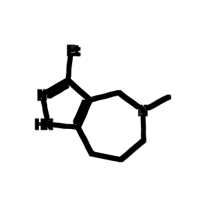 CCc1n[nH]c2c1CN(C)CCC2